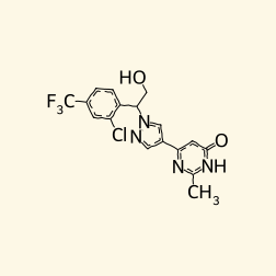 Cc1nc(-c2cnn(C(CO)c3ccc(C(F)(F)F)cc3Cl)c2)cc(=O)[nH]1